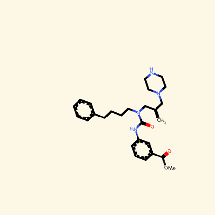 C=C(CN1CCNCC1)CN(CCCCc1ccccc1)C(=O)Nc1cccc(C(=O)OC)c1